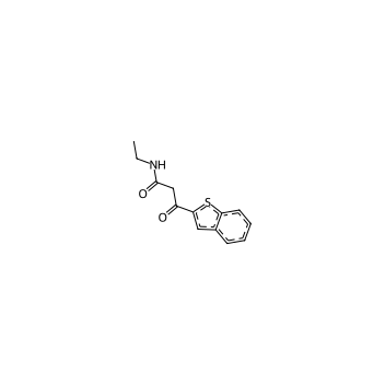 CCNC(=O)CC(=O)c1cc2ccccc2s1